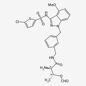 COc1cccc2c1c(NS(=O)(=O)c1ccc(Cl)s1)nn2Cc1cccc(CNC(=O)[C@H](N)[C@@H](C)OC=O)c1